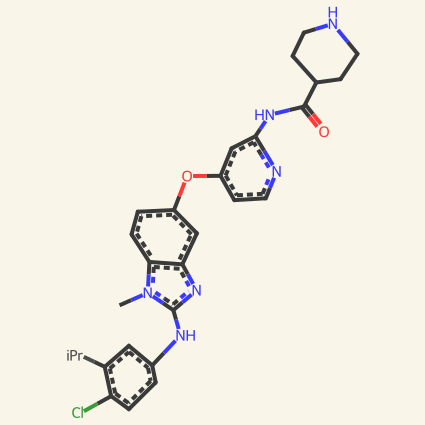 CC(C)c1cc(Nc2nc3cc(Oc4ccnc(NC(=O)C5CCNCC5)c4)ccc3n2C)ccc1Cl